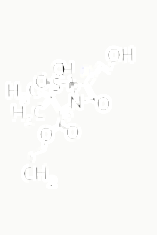 C=CCOC(=O)[C@@H]1N2C(=O)/C(=C\CO)[C@H]2S(=O)(=O)C1(C)C